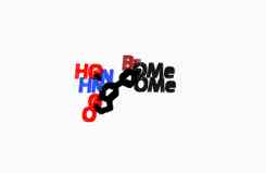 COc1cc(-c2cc3c(c4[nH]c(O)nc24)OC(=O)CC3)cc(Br)c1OC